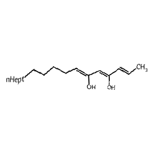 C/C=C/C(O)=C/C(O)=C/CCCCCCCCCCC